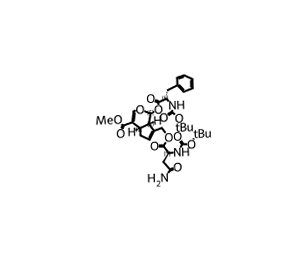 COC(=O)C1=CO[C@@H](OC(=O)[C@H](Cc2ccccc2)NC(=O)OC(C)(C)C)[C@@H]2C(COC(=O)[C@H](CC(N)=O)NC(=O)OC(C)(C)C)=CC[C@H]12